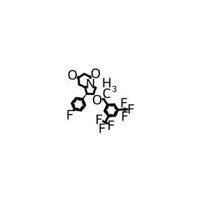 C[C@@H](O[C@H]1CN2C(=O)CC(=O)CC2[C@@H]1c1ccc(F)cc1)c1cc(C(F)(F)F)cc(C(F)(F)F)c1